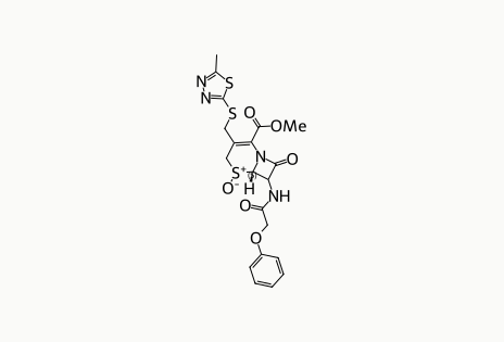 COC(=O)C1=C(CSc2nnc(C)s2)C[S+]([O-])[C@H]2C(NC(=O)COc3ccccc3)C(=O)N12